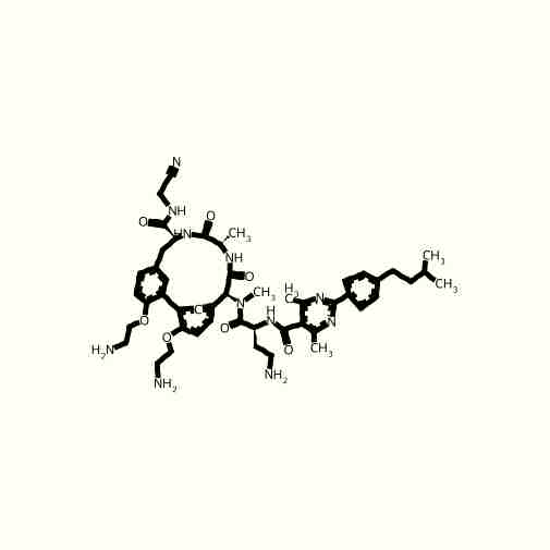 Cc1nc(-c2ccc(CCC(C)C)cc2)nc(C)c1C(=O)N[C@@H](CCN)C(=O)N(C)[C@@H]1C(=O)N[C@@H](C)C(=O)N[C@H](C(=O)NCC#N)Cc2ccc(OCCN)c(c2)-c2cc1ccc2OCCN